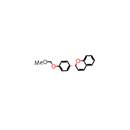 COCOc1ccc([C@H]2C=Cc3ccccc3O2)cc1